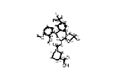 COc1cccc([C@@H]2O[C@@H](CC(=O)N3CCCC(C(=O)O)C3)C(=O)N(CC(C)(C)C)c3ccc(C(F)(F)F)cc32)c1OC